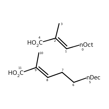 CCCCCCCC/C=C(\C)C(=O)O.CCCCCCCCCCCC/C=C(\C)C(=O)O